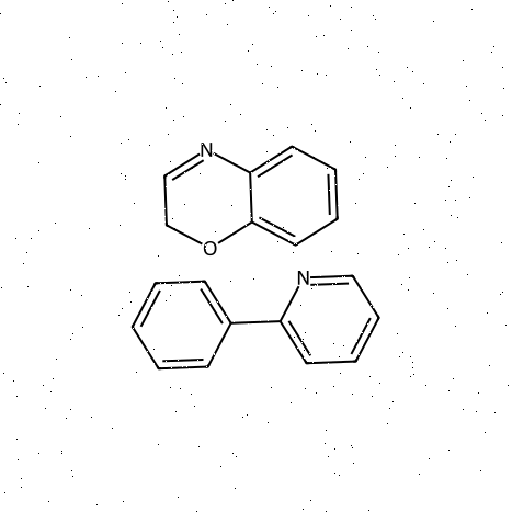 C1=Nc2ccccc2OC1.c1ccc(-c2ccccn2)cc1